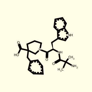 CC(C)(N)C(=O)N[C@H](Cc1c[nH]c2ccccc12)C(=O)N1CCCC(Cc2ccccc2)(C(=O)O)C1